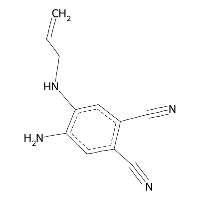 C=CCNc1cc(C#N)c(C#N)cc1N